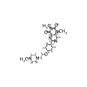 CN1CCN(CCOc2ccc(-c3ncc4c(n3)c(=O)n(C)c(=O)n4C)cc2)CC1